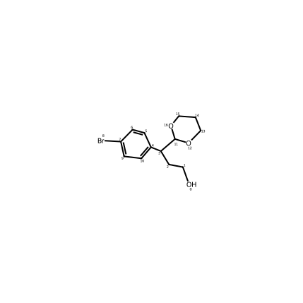 OCCC(c1ccc(Br)cc1)C1OCCCO1